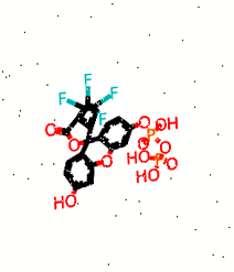 O=C1OC2(c3ccc(O)cc3Oc3cc(OP(=O)(O)OP(=O)(O)O)ccc32)c2c(F)c(F)c(F)c(F)c21